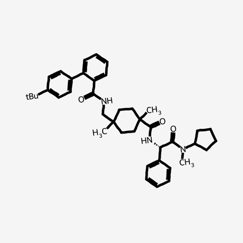 CN(C(=O)[C@@H](NC(=O)C1(C)CCC(C)(CNC(=O)c2ccccc2-c2ccc(C(C)(C)C)cc2)CC1)c1ccccc1)C1CCCC1